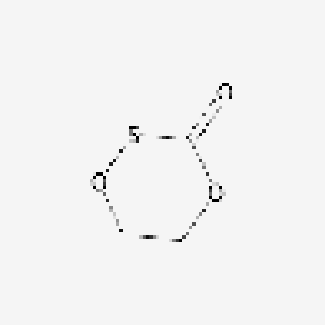 O=C1OCCOS1